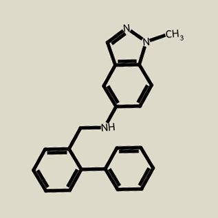 Cn1ncc2cc(NCc3ccccc3-c3ccccc3)ccc21